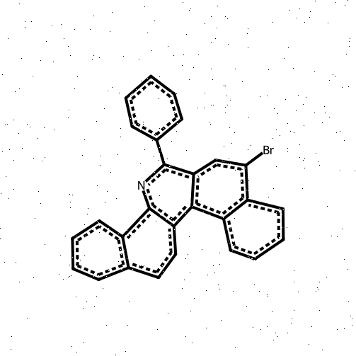 Brc1cc2c(-c3ccccc3)nc3c4ccccc4ccc3c2c2ccccc12